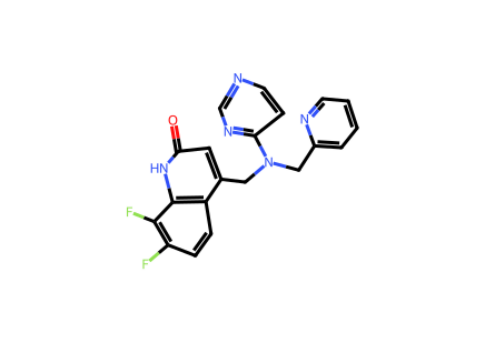 O=c1cc(CN(Cc2ccccn2)c2ccncn2)c2ccc(F)c(F)c2[nH]1